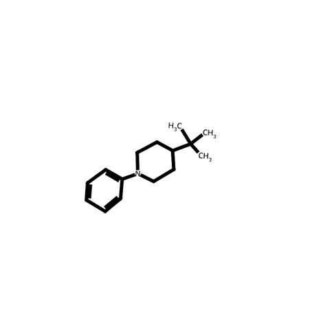 CC(C)(C)C1CCN(c2ccccc2)CC1